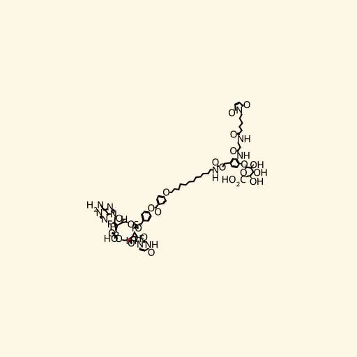 Nc1ncnc2c1ncn2[C@@H]1O[C@@H]2COP(=O)(SCc3ccc(OC(=O)c4ccc(OCCCCCCCCCCCCNC(=O)OCc5ccc(O[C@H]6O[C@@H](C(=O)O)[C@H](O)[C@@H](O)[C@@H]6O)c(NC(=O)CCNC(=O)CCCCCN6C(=O)C=CC6=O)c5)cc4)cc3)C3[C@@H]4[C@@H](COP(=O)(O)C5[C@H]2C51F)O[C@@H](n1ccc(=O)[nH]c1=O)[C@@]34F